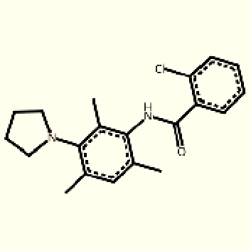 Cc1cc(C)c(N2CCCC2)c(C)c1NC(=O)c1ccccc1Cl